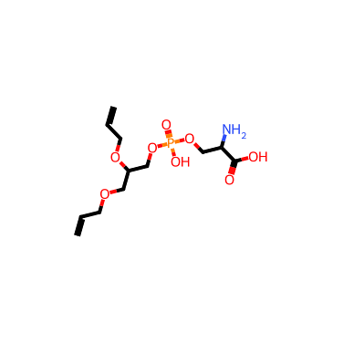 C=CCOCC(COP(=O)(O)OCC(N)C(=O)O)OCC=C